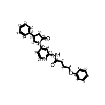 O=C(CCCOc1ccccc1)Nc1cc(N2CC(c3ccccc3)CC2=O)ccn1